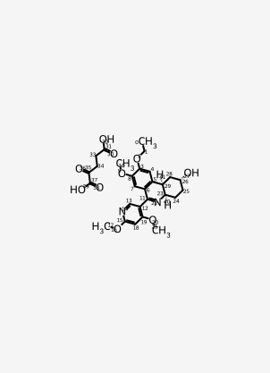 CCOc1cc2c(cc1OC)C(c1cnc(OC)cc1OC)=N[C@@H]1CC[C@@H](O)C[C@H]21.O=C(O)CCC(=O)C(=O)O